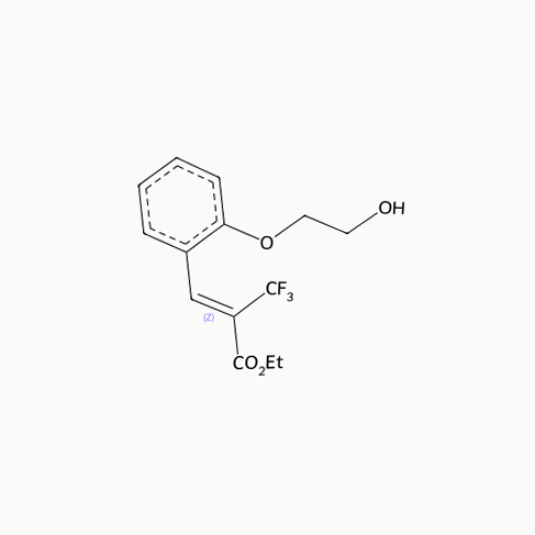 CCOC(=O)/C(=C/c1ccccc1OCCO)C(F)(F)F